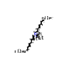 CCCCCCCCCCCCCCCCCCN(CCCCCCCCCCCCCCCCCC)[Si](CC)(CC)CC